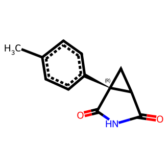 Cc1ccc([C@@]23CC2C(=O)NC3=O)cc1